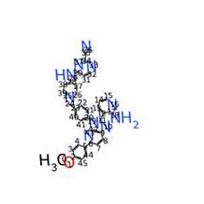 COc1ccc(-c2ccc3nc(-c4cccnc4N)n(-c4ccc(CN5CCC(Nc6ccnc(C#N)n6)CC5)cc4)c3n2)cc1